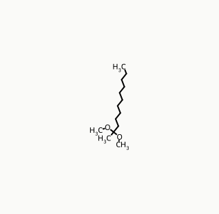 CCCCCCCCCCC(C)(OC)OC